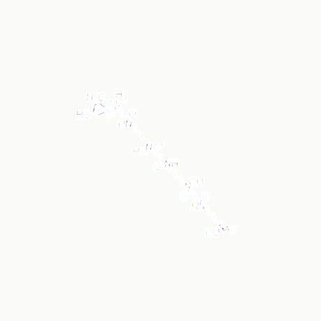 CC(=O)N(O)CCCCCNC(=O)CCC(=O)N(O)CCCCCNC(=O)CCC(=O)N(O)CCCCCNC(=O)CCC1(C)CCc2cc(O)cc(C)c2O1